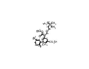 CCOC(=O)C1=C[C@@](C)(c2cc(Br)cnc2F)N=C(N(COCC[Si](C)(C)C)C(=O)OC(C)(C)C)S1